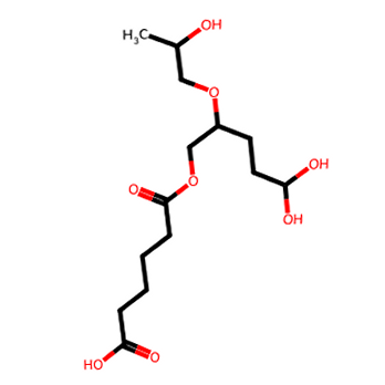 CC(O)COC(CCC(O)O)COC(=O)CCCCC(=O)O